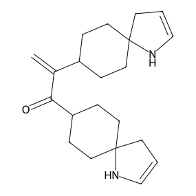 C=C(C(=O)C1CCC2(CC=CN2)CC1)C1CCC2(CC=CN2)CC1